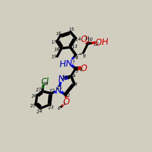 COc1cc(C(=O)N[C@@H](CC(=O)O)c2ccccc2C)nn1-c1ccccc1Cl